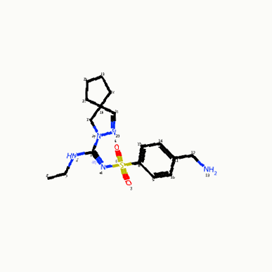 CCN/C(=N/S(=O)(=O)c1ccc(CN)cc1)N1CC2(C=N1)CCCC2